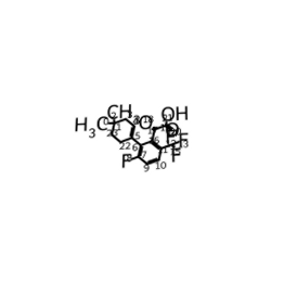 CC1(C)CC=C(c2c(F)ccc(C(F)(F)F)c2C(=O)C(=O)O)CC1